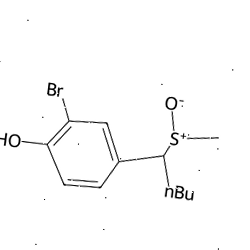 CCCCC(c1ccc(O)c(Br)c1)[S+](C)[O-]